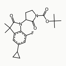 CC(C)(C)OC(=O)N1CCC(N2C(=O)C(C)(C)c3cc(C4CC4)cc(F)c32)C1=O